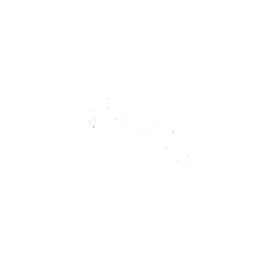 CS(=O)(=O)c1ccc(-c2cnco2)s1